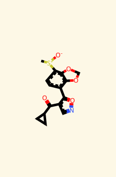 C[S+]([O-])c1ccc(-c2oncc2C(=O)C2CC2)c2c1OCO2